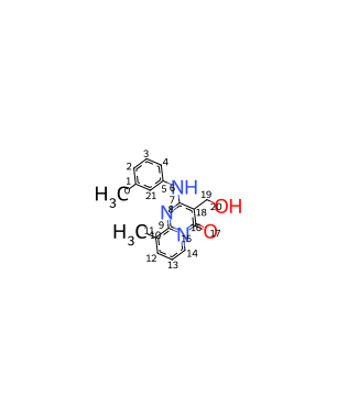 Cc1cccc(Nc2nc3c(C)cccn3c(=O)c2CO)c1